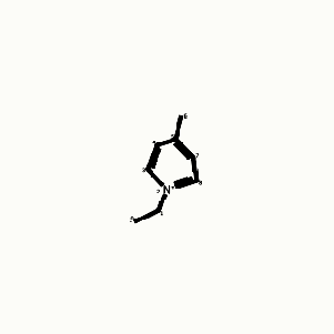 [CH2]C[n+]1ccc(C)cc1